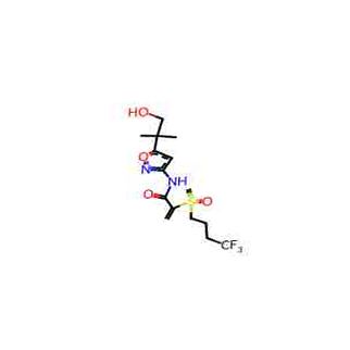 C=C(C(=O)Nc1cc(C(C)(C)CO)on1)S(=C)(=O)CCCC(F)(F)F